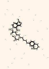 CO[C@H](C)CN(CCCCc1ccc2c(n1)NCCC2)CCC(Nc1ncnc2c1cnn2C)C(=O)O